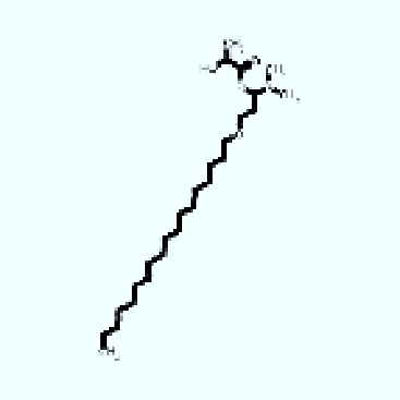 CCCCCCCCCCCCCCCCCCOCCC(OC(=O)C(C)O)N(C)C